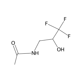 CC(=O)NCC(O)C(F)(F)F